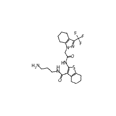 NCCCNC(=O)c1c(NC(=O)Cn2nc(C(F)(F)F)c3c2CCCC3)sc2c1CCCC2